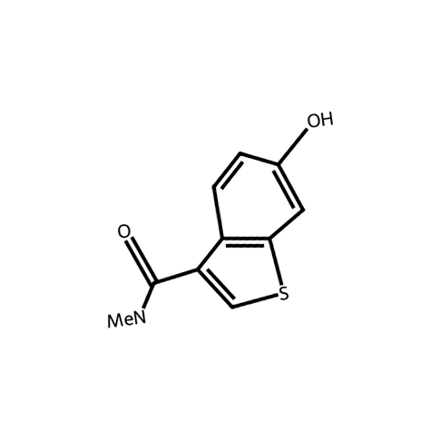 CNC(=O)c1csc2cc(O)ccc12